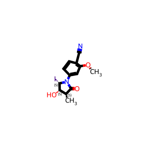 COc1cc(N2C(=O)[C@@H](C)[C@H](O)[C@@H]2I)ccc1C#N